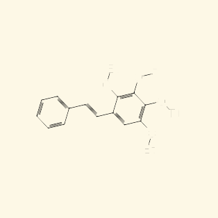 CCOc1cc(C=Cc2ccccc2)c(OCC)c(OCC)c1OCC